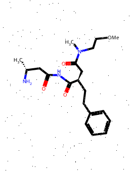 COCCN(C)C(=O)C[C@@H](CCc1ccccc1)C(=O)NC(=O)C[C@@H](C)N